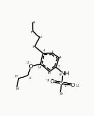 CCCCc1ccc(NS(C)(=O)=O)cc1OCCC